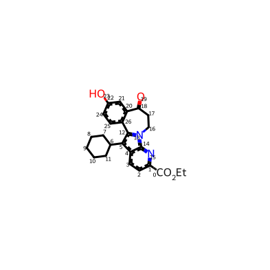 CCOC(=O)c1ccc2c(C3CCCCC3)c3n(c2n1)CCC(=O)c1cc(O)ccc1-3